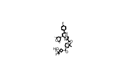 C[C@@H]1C[C@H](c2cc(-c3ccc(F)cc3)nn3cc(C(=O)N4CCN(C(=O)[C@H]5C[C@](O)(C(F)(F)F)C5)CC4(C)C)nc23)C[C@H](C)O1